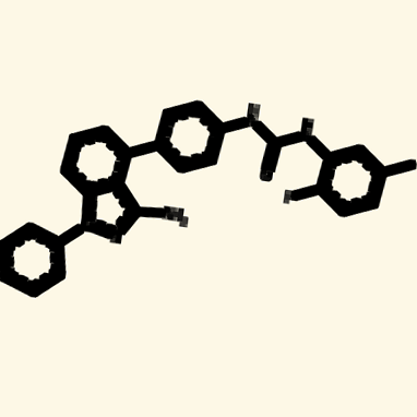 Cc1ccc(F)c(NC(=O)Nc2ccc(-c3cccc4c3c(N)nn4-c3ccccc3)cc2)c1